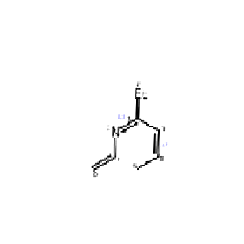 C=C/N=C(\C=C/C)CC